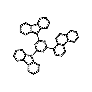 c1ccc2c(c1)ccc1c(-c3nc(-n4c5ccccc5c5cccnc54)nc(-n4c5ccccc5c5cccnc54)n3)cncc12